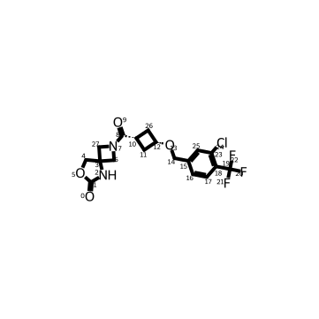 O=C1NC2(CO1)CN(C(=O)[C@H]1C[C@@H](OCc3ccc(C(F)(F)F)c(Cl)c3)C1)C2